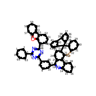 c1ccc(-c2nc(-c3cccc(-c4nc5ccccc5c5c6c(ccc45)C4(c5ccccc5S6)c5ccccc5-c5ccccc54)c3)nc(-c3cccc4c3oc3ccccc34)n2)cc1